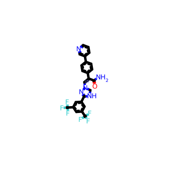 NC(=O)/C(=C\N1CNC(c2cc(C(F)(F)F)cc(C(F)(F)F)c2)=N1)c1ccc(-c2cccnc2)cc1